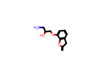 C=C1Cc2cccc(OCC(O)CN)c2O1